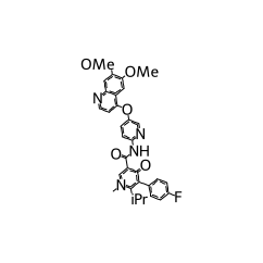 COc1cc2nccc(Oc3ccc(NC(=O)c4cn(C)c(C(C)C)c(-c5ccc(F)cc5)c4=O)nc3)c2cc1OC